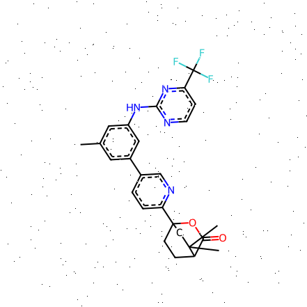 Cc1cc(Nc2nccc(C(F)(F)F)n2)cc(-c2ccc(C34CCC(C(=O)O3)C(C)(C)C4)nc2)c1